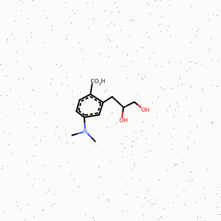 CN(C)c1ccc(C(=O)O)c(CC(O)CO)c1